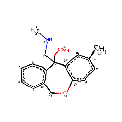 CNCC1(O)c2ccccc2COc2ccc(C)cc21